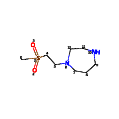 CS(=O)(=O)CCN1CCCNCC1